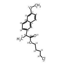 COc1ccc2cc(C(C)C(=O)OCCCCCl)ccc2c1